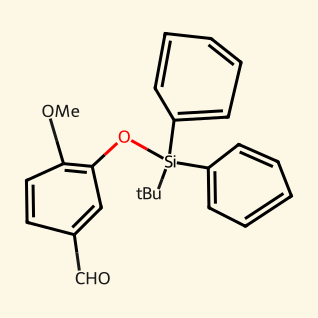 COc1ccc(C=O)cc1O[Si](c1ccccc1)(c1ccccc1)C(C)(C)C